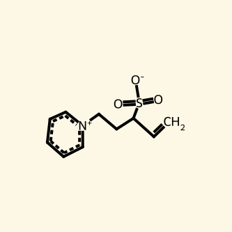 C=CC(CC[n+]1ccccc1)S(=O)(=O)[O-]